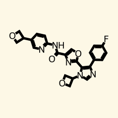 O=C(Nc1ccc(C2COC2)cn1)c1coc(-c2c(-c3ccc(F)cc3)ncn2C2COC2)n1